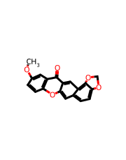 COc1ccc2oc3cc4ccc5c(c4cc3c(=O)c2c1)OCO5